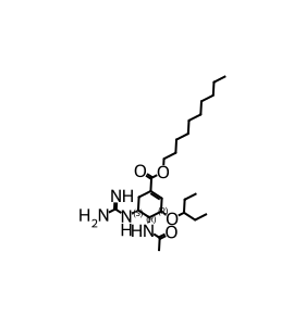 CCCCCCCCCCOC(=O)C1=C[C@@H](OC(CC)CC)[C@H](NC(C)=O)[C@@H](NC(=N)N)C1